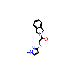 Cn1ccc(SCC(=O)N2Cc3ccccc3C2)n1